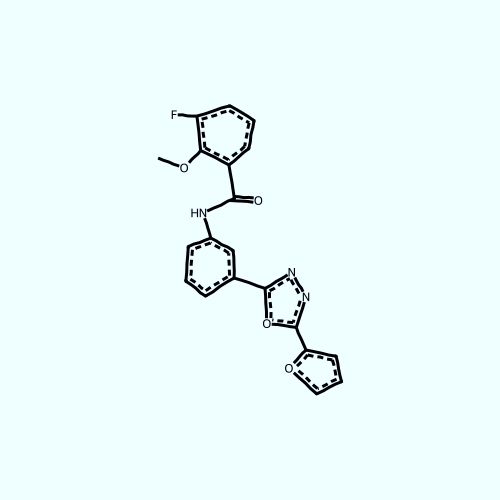 COc1c(F)cccc1C(=O)Nc1cccc(-c2nnc(-c3ccco3)o2)c1